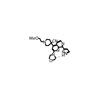 COCCN1CCC(C#N)(c2cc(N3CCOC[C@H]3C)nc3c(-c4ccn[nH]4)nccc23)CC1